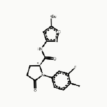 Cc1ccc(N2C(=O)CC[C@H]2C(=O)Nc2cc(C(C)(C)C)on2)cc1F